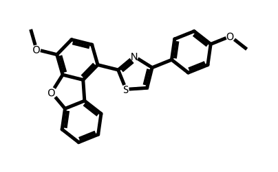 COc1ccc(-c2csc(-c3ccc(OC)c4oc5ccccc5c34)n2)cc1